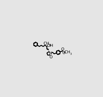 COC(=O)c1ccc(CCN2C(=O)CC[C@@H]2/C=C/[C@@H](O)[C@@H](C)CCCc2ccccc2)cc1